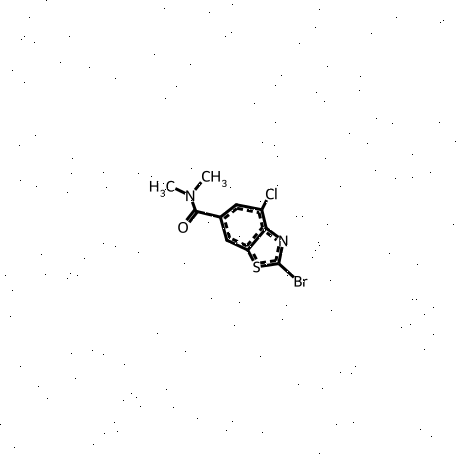 CN(C)C(=O)c1cc(Cl)c2nc(Br)sc2c1